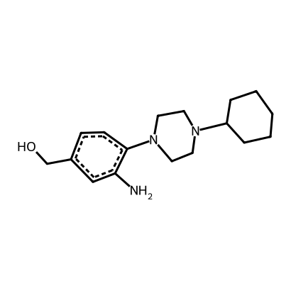 Nc1cc(CO)ccc1N1CCN(C2CCCCC2)CC1